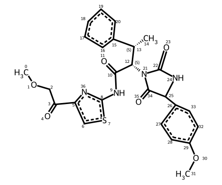 COCC(=O)c1csc(NC(=O)[C@H]([C@@H](C)c2ccccc2)N2C(=O)NC(c3ccc(OC)cc3)C2=O)n1